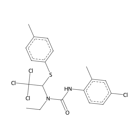 CCN(C(=O)Nc1ccc(Cl)cc1C)C(Sc1ccc(C)cc1)C(Cl)(Cl)Cl